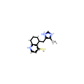 Cc1nc[nH]c1CC1CCCc2nccc(S)c21